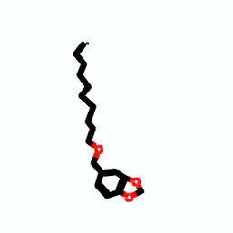 [CH2]CCCCCCCCCOCc1ccc2c(c1)OCO2